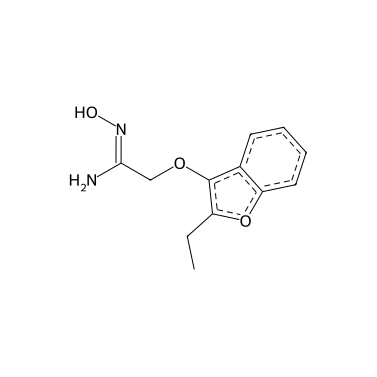 CCc1oc2ccccc2c1OCC(N)=NO